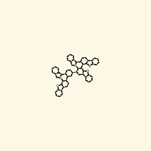 c1ccc2c(c1)cn1c3c(-c4ccc5c(c4)c4ccc6c7ccccc7oc6c4n4cc6ccccc6c54)cc4c5ccccc5oc4c3c3c(ccc4c5ccccc5sc43)c21